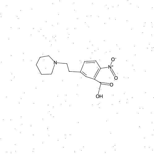 O=C(O)c1cc(CCN2CCCCC2)ccc1[N+](=O)[O-]